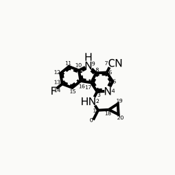 CC(Nc1ncc(C#N)c2[nH]c3ccc(F)cc3c12)C1CC1